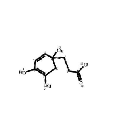 CC(C)(C)C1=C(O)C=CC(CCC(=O)Cl)(C(C)(C)C)C1